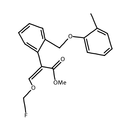 COC(=O)C(=COCF)c1ccccc1COc1ccccc1C